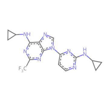 FC(F)(F)c1nc(NC2CC2)c2ncn(-c3ccnc(NC4CC4)n3)c2n1